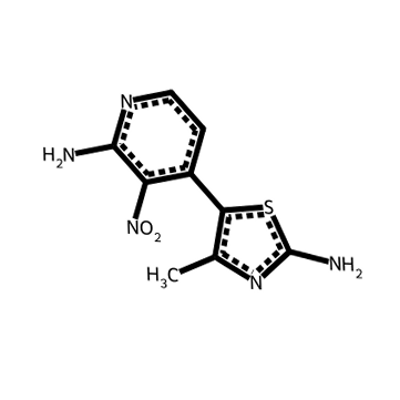 Cc1nc(N)sc1-c1ccnc(N)c1[N+](=O)[O-]